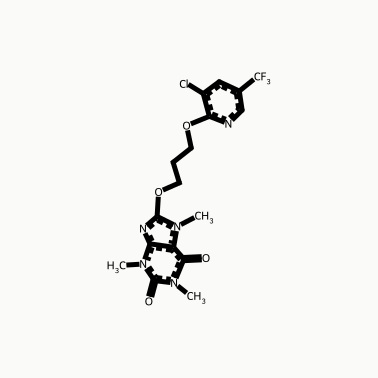 Cn1c(=O)c2c(nc(OCCCOc3ncc(C(F)(F)F)cc3Cl)n2C)n(C)c1=O